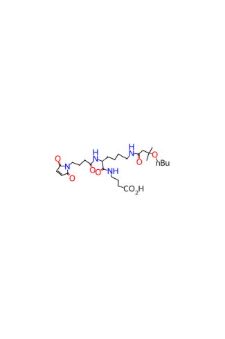 CCCCOC(C)(C)CC(=O)NCCCC[C@H](NC(=O)CCCN1C(=O)C=CC1=O)C(=O)NCCCC(=O)O